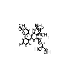 COc1cccc(-c2cc(F)ccc2[C@@H]2C/C(=N\OCC(O)CO)c3c(C)nc(N)nc3C2)n1